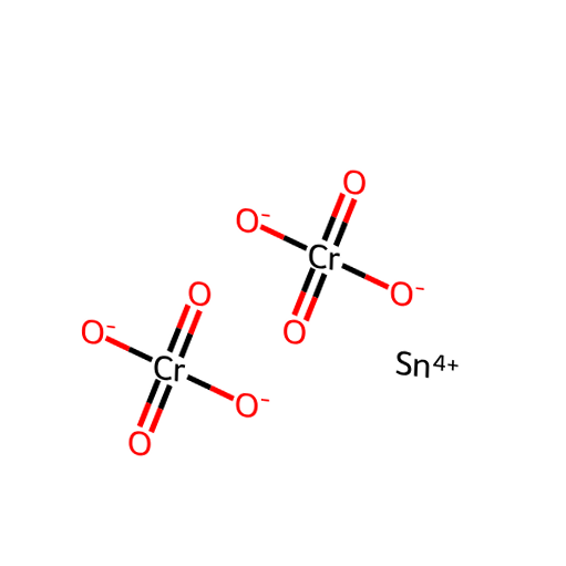 [O]=[Cr](=[O])([O-])[O-].[O]=[Cr](=[O])([O-])[O-].[Sn+4]